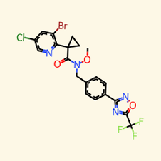 CON(Cc1ccc(-c2noc(C(F)(F)F)n2)cc1)C(=O)C1(c2ncc(Cl)cc2Br)CC1